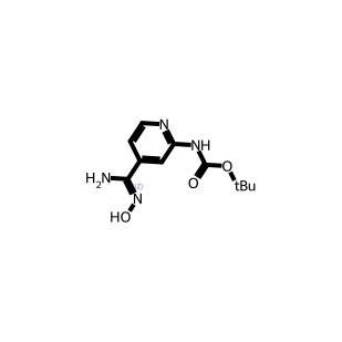 CC(C)(C)OC(=O)Nc1cc(/C(N)=N/O)ccn1